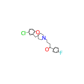 O=C(CCCN1CCC2(CC1)Cc1cc(Cl)ccc1O2)c1ccc(F)cc1